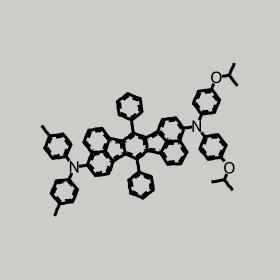 Cc1ccc(N(c2ccc(C)cc2)c2ccc3c4c(-c5ccccc5)c5c6cccc7c(N(c8ccc(OC(C)C)cc8)c8ccc(OC(C)C)cc8)ccc(c5c(-c5ccccc5)c4c4cccc2c43)c76)cc1